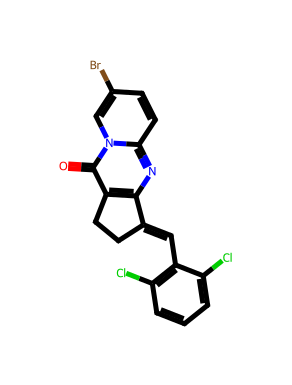 O=c1c2c(nc3ccc(Br)cn13)C(=Cc1c(Cl)cccc1Cl)CC2